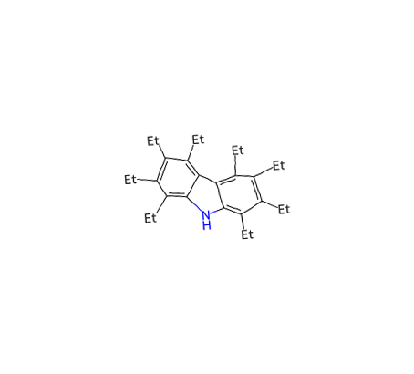 CCc1c(CC)c(CC)c2c([nH]c3c(CC)c(CC)c(CC)c(CC)c32)c1CC